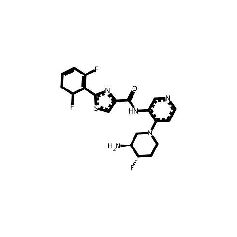 N[C@H]1CN(c2ccncc2NC(=O)c2csc(C3=C(F)C=CCC3F)n2)CC[C@@H]1F